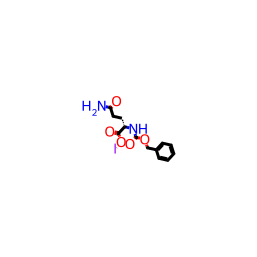 NC(=O)CC[C@H](NC(=O)OCc1ccccc1)C(=O)OI